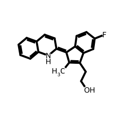 CC1=C(CCO)c2cc(F)ccc2C1=C1C=Cc2ccccc2N1